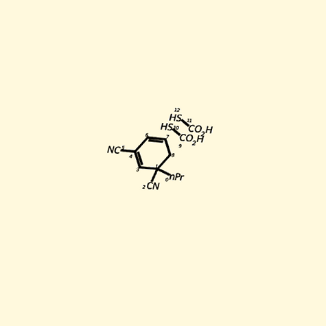 CCCC1(C#N)C=C(C#N)C=CC1.O=C(O)S.O=C(O)S